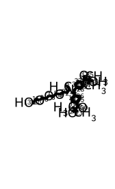 CN(CCOCCOCCOCCO)C(c1ccc(C(=O)C(C)(C)O)cc1)c1ccc(C(=O)C(C)(C)O)cc1